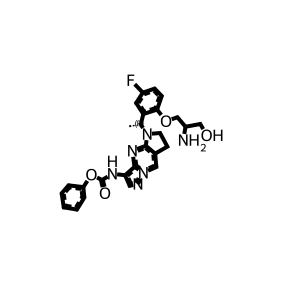 C[C@H](c1cc(F)ccc1OCC(N)CO)N1CCc2cn3ncc(NC(=O)Oc4ccccc4)c3nc21